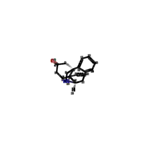 COC12CCC(=O)C[C@@]13CCN[C@@H]2Cc1ccccc13